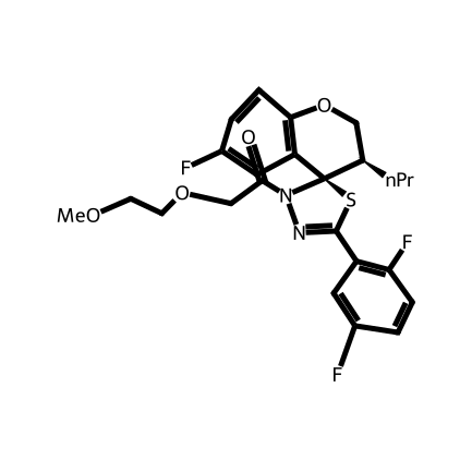 CCC[C@@H]1COc2ccc(F)cc2[C@]12SC(c1cc(F)ccc1F)=NN2C(=O)COCCOC